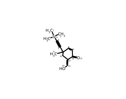 CC1(C#C[Si](C)(C)C)C=CC(=O)C(=CO)C1